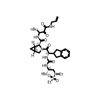 C=CCNC(=O)C(=O)C(CCCC)NC(=O)[C@@H]1[C@H]2C[C@H]2CN1C(=O)[C@@H](NC(=O)N[C@H](CN(CC)S(=O)(=O)CC)C(C)(C)C)C1Cc2ccccc2C1